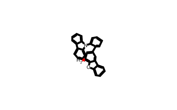 Nc1cc(-c2ccccc2-n2c3ccccc3c3ccccc32)cc2c1oc1ccccc12